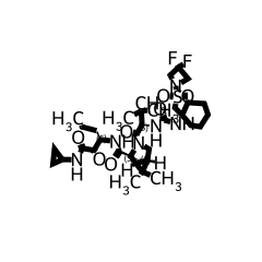 CCC[C@H](NC(=O)[C@@H]1[C@@H]2[C@H](CN1C(=O)[C@@H](NC(=O)NC1(CS(=O)(=O)N3CC(F)(F)C3)CCCCC1)C(C)(C)C)C2(C)C)C(=O)C(=O)NC1CC1